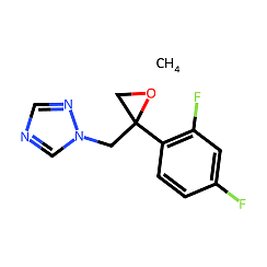 C.Fc1ccc(C2(Cn3cncn3)CO2)c(F)c1